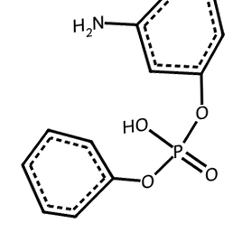 Nc1cccc(OP(=O)(O)Oc2ccccc2)c1